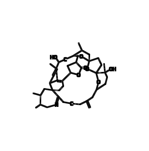 C=C1CCCC2=NCC(C)C(C)CC23CCC(C2CC(C)C(=O)O2)=C(C)C3/C=C(\C)C(O)CC2OC3(CCC4(OC(CCC4(C)O)C1)O3)CC2C